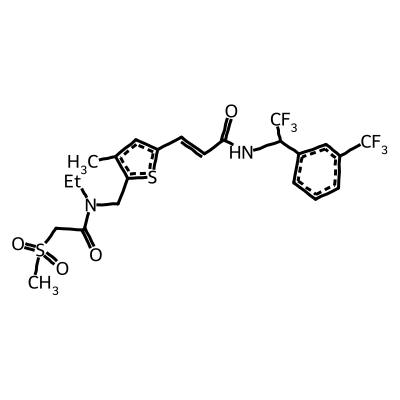 CCN(Cc1sc(C=CC(=O)NC(c2cccc(C(F)(F)F)c2)C(F)(F)F)cc1C)C(=O)CS(C)(=O)=O